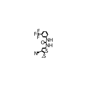 CSc1sc(NC(=O)Nc2cccc(C(F)(F)F)c2)cc1C#N